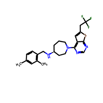 Cc1ccc(CN[C@H]2CCCN(c3ncnc4sc(CC(F)(F)F)cc34)CC2)c(C)c1